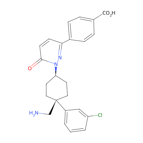 NC[C@]1(c2cccc(Cl)c2)CC[C@H](n2nc(-c3ccc(C(=O)O)cc3)ccc2=O)CC1